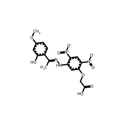 COc1ccc(C(C)=NNc2cc(OCC(=O)O)c([N+](=O)[O-])cc2[N+](=O)[O-])c(O)c1